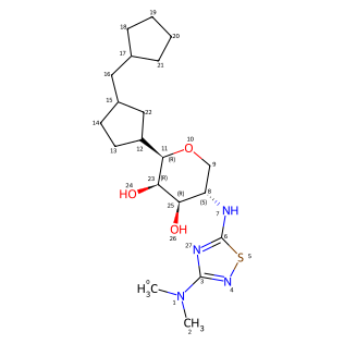 CN(C)c1nsc(N[C@H]2CO[C@H](C3CCC(CC4CCCC4)C3)[C@H](O)[C@@H]2O)n1